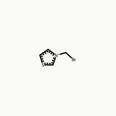 BrC[n+]1ccsc1